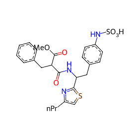 CCCc1csc(C(Cc2ccc(NS(=O)(=O)O)cc2)NC(=O)C(Cc2ccccc2)C(=O)OC)n1